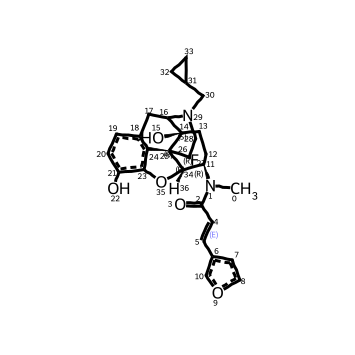 CN(C(=O)/C=C/c1ccoc1)[C@@H]1CC[C@@]2(O)C3Cc4ccc(O)c5c4[C@@]2([C@@H](F)CN3CC2CC2)[C@H]1O5